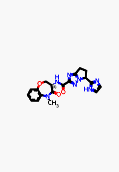 CN1C(=O)[C@@H](NC(=O)c2nc3n(n2)C(c2ncc[nH]2)CC3)COc2ccccc21